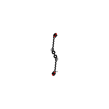 c1cc(-c2ccc(OCCCCCCCCCC[N+]34CCC(CC3)CC4)cc2)ccc1OCCCCCCCCCC[N+]12CCC(CC1)CC2